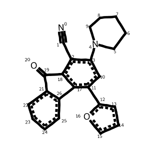 N#Cc1c(N2CCCCC2)cc(-c2ccco2)c2c1C(=O)c1ccccc1-2